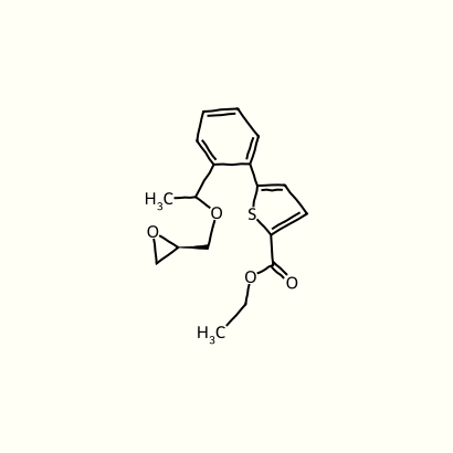 CCOC(=O)c1ccc(-c2ccccc2C(C)OC[C@H]2CO2)s1